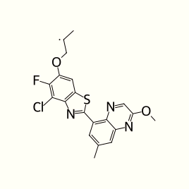 C[CH]COc1cc2sc(-c3cc(C)cc4nc(OC)cnc34)nc2c(Cl)c1F